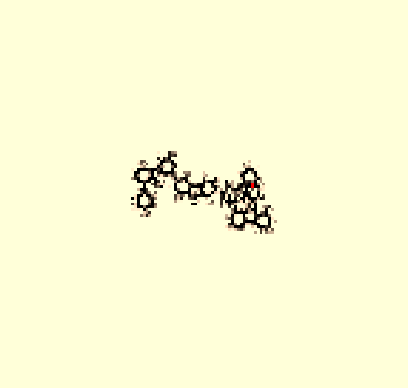 c1ccc(-c2nc(-c3ccc4c(c3)sc3ccc(-c5cccc6c5oc5c(-c7ccccc7)cccc56)cc34)nc(-c3cccc4c5ccccc5n(-c5ccccc5)c34)n2)cc1